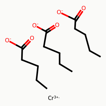 CCCCC(=O)[O-].CCCCC(=O)[O-].CCCCC(=O)[O-].[Cr+3]